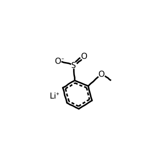 COc1ccccc1S(=O)[O-].[Li+]